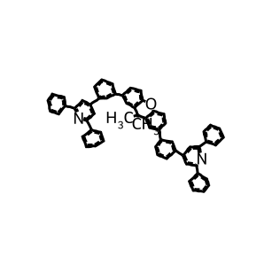 CC1(C)c2cc(-c3cccc(-c4cc(-c5ccccc5)nc(-c5ccccc5)c4)c3)ccc2Oc2ccc(-c3cccc(-c4cc(-c5ccccc5)nc(-c5ccccc5)c4)c3)cc21